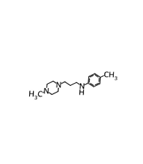 Cc1ccc(NCCCN2CCN(C)CC2)cc1